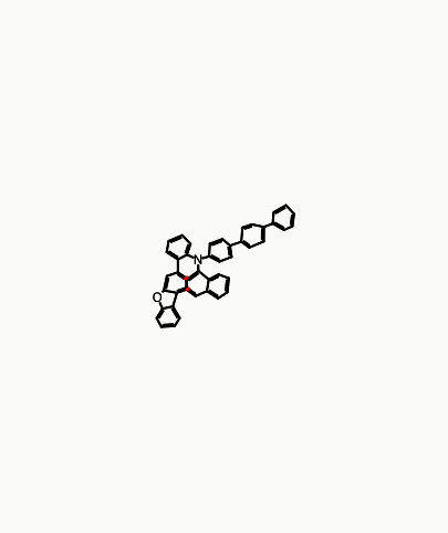 c1ccc(-c2ccc(-c3ccc(N(c4ccccc4-c4ccc5c(c4)oc4ccccc45)c4cccc5ccccc45)cc3)cc2)cc1